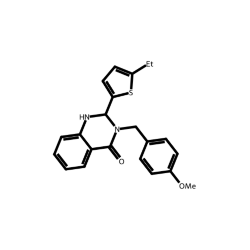 CCc1ccc(C2Nc3ccccc3C(=O)N2Cc2ccc(OC)cc2)s1